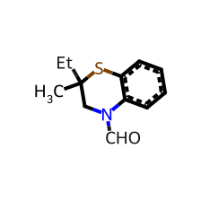 CCC1(C)CN(C=O)c2ccccc2S1